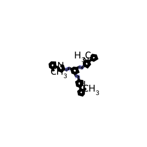 Cc1ccccc1-c1ccc(/C=C/c2cc(/C=C/c3ccc(-c4ccccc4C)nc3)cc(/C=C/c3ccc(-c4ccccc4C)nc3)c2)cn1